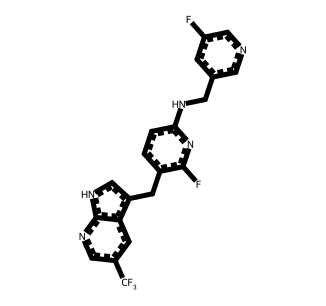 Fc1cncc(CNc2ccc(Cc3c[nH]c4ncc(C(F)(F)F)cc34)c(F)n2)c1